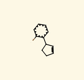 Brc1ccccc1C1C=CCC1